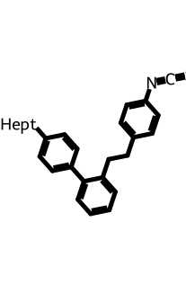 CCCCCCCc1ccc(-c2ccccc2CCc2ccc(N=C=S)cc2)cc1